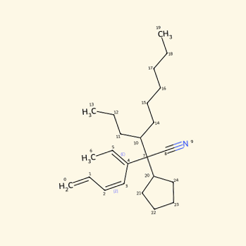 C=C/C=C\C(=C/C)C(C#N)(C(CCC)CCCCCC)C1CCCC1